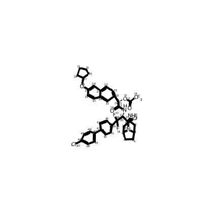 NC1CC2CCC(C1)N2C(=O)[C@@H](NC(=O)[C@@H](OC(=O)C(F)(F)F)c1ccc2cc(OC3CCCC3)ccc2c1)C(F)(F)c1ccc(-c2ccc(Cl)cc2)cc1